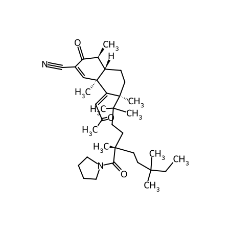 CCC(C)(C)CC[C@@](C)(CCC(C)(C)[C@]1(C)CC[C@H]2[C@H](C)C(=O)C(C#N)=C[C@]2(C)/C1=C/C(C)=O)C(=O)N1CCCC1